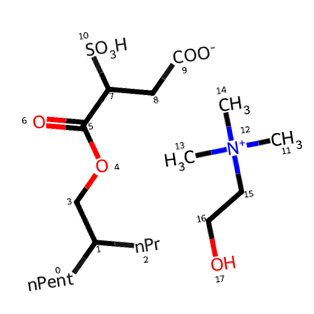 CCCCCC(CCC)COC(=O)C(CC(=O)[O-])S(=O)(=O)O.C[N+](C)(C)CCO